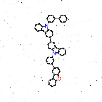 c1ccc(-c2cccc(-n3c4ccccc4c4cc(-c5ccc6c(c5)c5ccccc5n6-c5cccc(-c6ccc7oc8ccccc8c7c6)c5)ccc43)c2)cc1